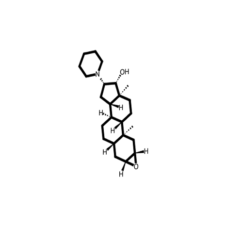 C[C@]12C[C@@H]3O[C@@H]3C[C@@H]1CC[C@@H]1[C@@H]2CC[C@]2(C)[C@@H](O)[C@@H](N3CCCCC3)C[C@@H]12